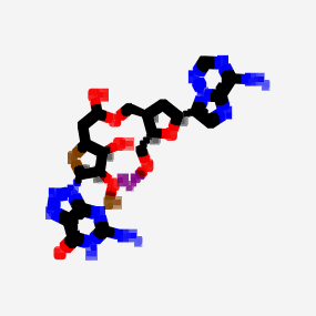 Nc1nc2c(nnn2[C@@H]2SC(CC(O)OC[C@H]3C[C@H](c4cnc5c(N)ncnn45)O[C@@H]3COP)[C@@H](O)[C@H]2OS)c(=O)[nH]1